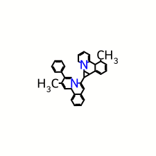 CC1=CC2c3ccccc3C=C(C3C4C5=CC=CC(C)C5C5=CC=CCN5C43)N2C=C1c1ccccc1